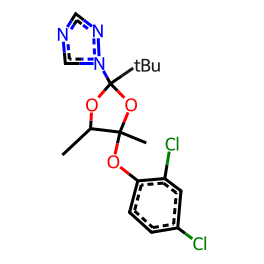 CC1OC(n2cncn2)(C(C)(C)C)OC1(C)Oc1ccc(Cl)cc1Cl